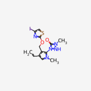 C=Cc1cn(C)c(-n2[nH]n(C)c2=O)c1COc1nc(I)cs1